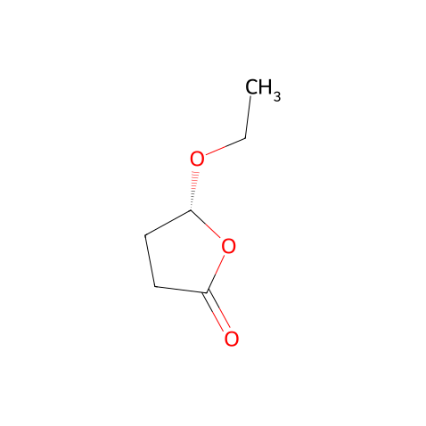 CCO[C@H]1CCC(=O)O1